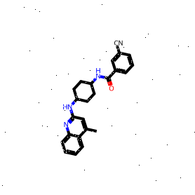 Cc1cc(NC2CCC(NC(=O)c3cccc(C#N)c3)CC2)nc2ccccc12